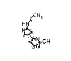 CCCNc1ncc(-c2ccnc(O)n2)s1